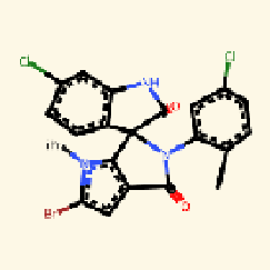 Cc1ccc(Cl)cc1N1C(=O)c2cc(Br)n(C(C)C)c2C12C(=O)Nc1cc(Cl)ccc12